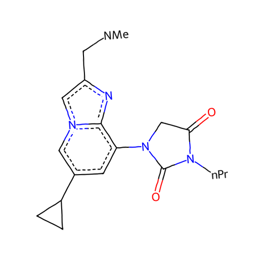 CCCN1C(=O)CN(c2cc(C3CC3)cn3cc(CNC)nc23)C1=O